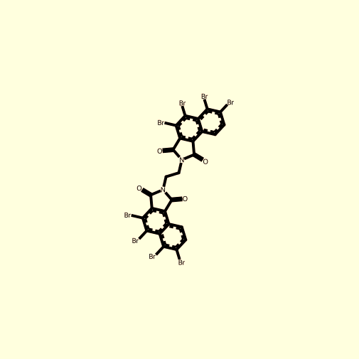 O=C1c2c(Br)c(Br)c3c(Br)c(Br)ccc3c2C(=O)N1CCN1C(=O)c2c(Br)c(Br)c3c(Br)c(Br)ccc3c2C1=O